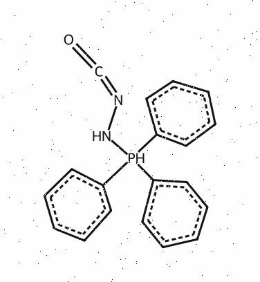 O=C=NN[PH](c1ccccc1)(c1ccccc1)c1ccccc1